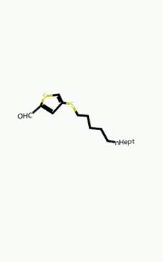 CCCCCCCCCCCCSc1csc(C=O)c1